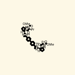 CC[C@H](NC(=O)OC)C(=O)N1[C@@H]2CC[C@@H](C2)[C@H]1c1ncc(-c2ccc(-c3ccc(-c4cnc([C@@H]5[C@H]6CC[C@H](C6)N5C(=O)[C@@H](NC(=O)OC)C(C)C)[nH]4)cc3)cc2)[nH]1